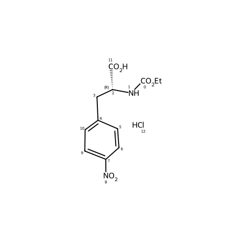 CCOC(=O)N[C@H](Cc1ccc([N+](=O)[O-])cc1)C(=O)O.Cl